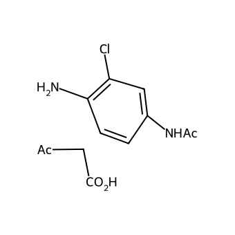 CC(=O)CC(=O)O.CC(=O)Nc1ccc(N)c(Cl)c1